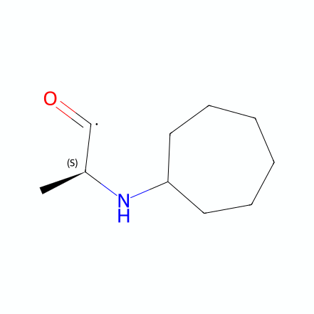 C[C@@H]([C]=O)NC1CCCCCC1